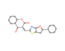 O=C1Oc2ccccc2C(=O)/C1=C/c1nc2oc(-c3ccccc3)cc2s1